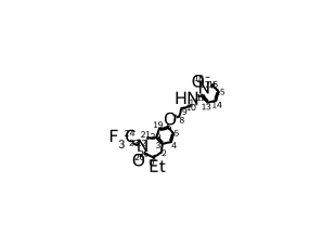 CCC1Cc2ccc(OCCCNc3cccc[n+]3[O-])cc2CN(CC(F)(F)F)C1=O